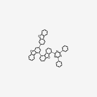 c1ccc(-c2nc(-c3ccccc3)nc(-c3cccc4c3oc3cccc(-c5cc(-c6ccc7c(c6)oc6ccccc67)cc6oc7ccccc7c56)c34)n2)cc1